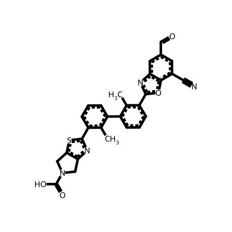 Cc1c(-c2nc3cc(C=O)cc(C#N)c3o2)cccc1-c1cccc(-c2nc3c(s2)CN(C(=O)O)C3)c1C